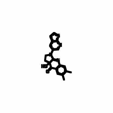 Cc1cc2c(cc1C)C(=O)C1(O)CCN(c3cnc4sccc4c3)C1=N2